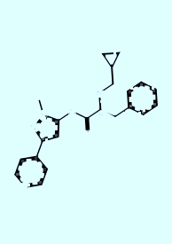 Cn1nc(-c2ccncc2)cc1NC(=O)[C@H](Cc1ccccc1)NCC1CC1